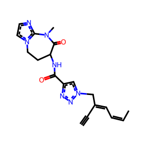 C#C/C(=C\C=C/C)Cn1cc(C(=O)NC2CCn3ccnc3N(C)C2=O)nn1